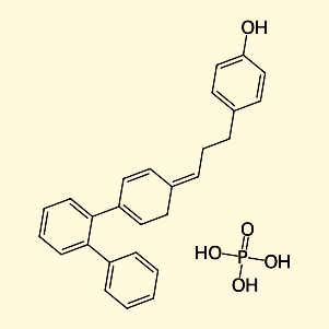 O=P(O)(O)O.Oc1ccc(CCC=C2C=CC(c3ccccc3-c3ccccc3)=CC2)cc1